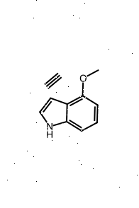 C#C.COc1cccc2[nH]ccc12